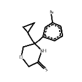 S=C1COCC(c2cccc(Br)c2)(C2CC2)N1